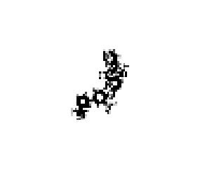 CN(C)[C@H]1C[C@@H](c2cccc(C(F)(F)F)c2)CC[C@@H]1Oc1ccc(S(=O)(=O)Nc2ccncn2)c(Cl)n1